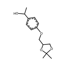 CC(O)c1ccc(OCC2COC(C)(C)O2)cc1